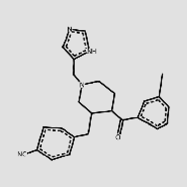 Cc1cccc(C(=O)C2CCN(Cc3cnc[nH]3)CC2Cc2ccc(C#N)cc2)c1